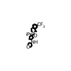 CC1c2cc(C(F)(F)F)ccc2CCN1C(=O)[C@@]1(C(C)C)CC[C@@H](NC2CCOCC2)C1